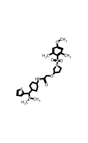 COc1cc(C)c(S(=O)(=O)N2CCC(OCC(=O)NC3CCC(C(c4cccs4)N(C)C)CC3)C2)c(C)c1